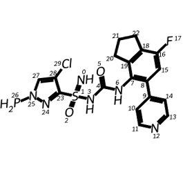 N=S(=O)(NC(=O)Nc1c(-c2ccncc2)cc(F)c2c1CCC2)c1nn(P)cc1Cl